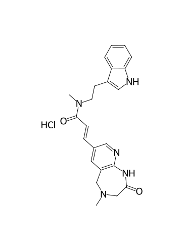 CN1CC(=O)Nc2ncc(/C=C/C(=O)N(C)CCc3c[nH]c4ccccc34)cc2C1.Cl